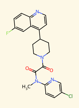 CN(C(=O)C(=O)N1CCC(c2ccnc3ccc(F)cc23)CC1)c1ccc(Cl)cn1